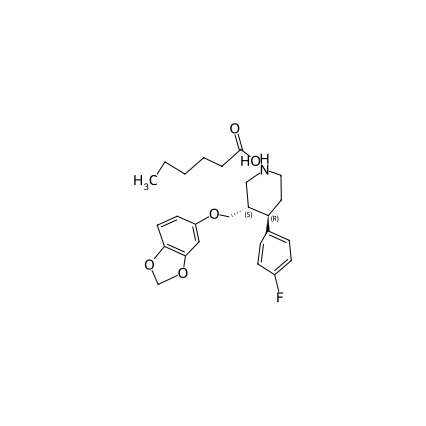 CCCCCC(=O)O.Fc1ccc([C@@H]2CCNC[C@H]2COc2ccc3c(c2)OCO3)cc1